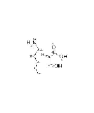 C=C(CO)C(=O)O.CCCCCN